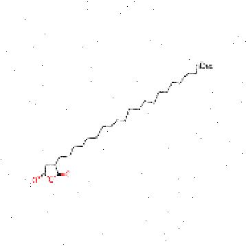 CCCCCCCCCCCCCCCCCCCCCCCCCCCCCCC1CC(=O)OC1=O